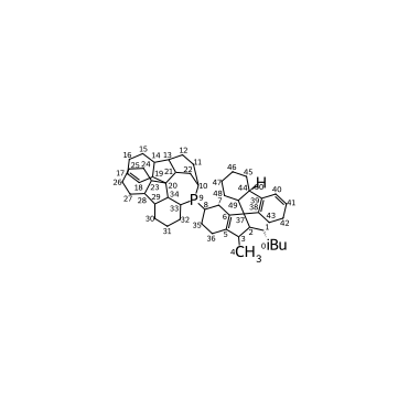 CC[C@@H](C)CC1C(C)C2=C(CC(P3C4CCC5C6CCC=CC6C6(C5C4)C4CCCCC4C4CCCC3C46)CC2)C12C1=C(C=CCC1)[C@H]1CCCCC12